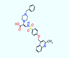 Cc1cc(COc2ccc(S(=O)(=O)NC=C(C(=O)O)N3CCN(Cc4ccccc4)CC3)cc2)c2ccccc2n1